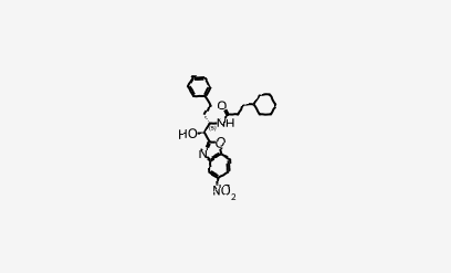 O=C(CCC1CCCCC1)N[C@@H](CCc1ccccc1)C(O)c1nc2cc([N+](=O)[O-])ccc2o1